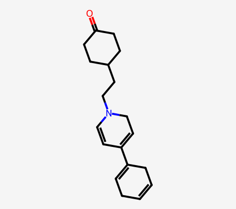 O=C1CCC(CCN2C=CC(C3=CCC=CC3)=CC2)CC1